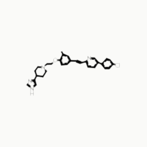 Cc1cc(C#Cc2ccc(-c3ccc(Cl)cc3)cn2)ccc1OCCN1CCC(c2c[nH]cn2)CC1